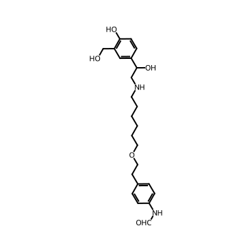 O=CNc1ccc(CCOCCCCCCNCC(O)c2ccc(O)c(CO)c2)cc1